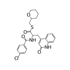 O=C(NC(Cc1cc(=O)[nH]c2ccccc12)C(=O)SCC1CCCCO1)c1ccc(Cl)cc1